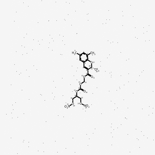 Cc1cc(C)c2c(c1)C=C(C(=O)OCOC(=O)OC(CO[N+](=O)[O-])CO[N+](=O)[O-])[C@@H](C(F)(F)F)O2